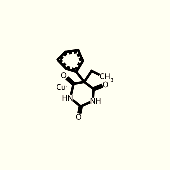 CCC1(c2ccccc2)C(=O)NC(=O)NC1=O.[Cu]